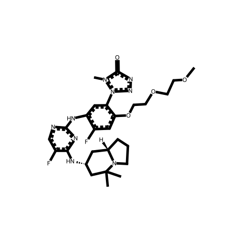 COCCOCCOc1cc(F)c(Nc2ncc(F)c(N[C@@H]3C[C@@H]4CCCN4C(C)(C)C3)n2)cc1-n1nnc(=O)n1C